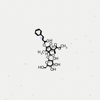 COC(=O)C1=CO[C@@H](O[C@@H]2O[C@H](CO)[C@@H](O)[C@H](O)[C@H]2O)[C@@H]2[C@H](C)[C@@H](OC(=O)/C=C/c3ccccc3)[C@@H](O)[C@H]12